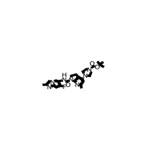 Cc1cc(N2CCN(C(=O)OC(C)(C)C)CC2)c2c(n1)N(C(=O)Nc1cn3cc(C)nc3cc1F)CC2